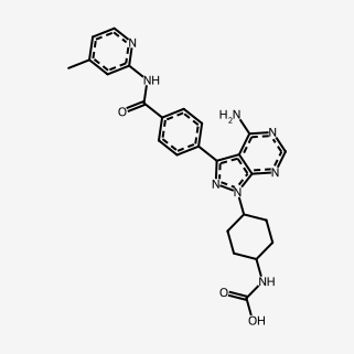 Cc1ccnc(NC(=O)c2ccc(-c3nn(C4CCC(NC(=O)O)CC4)c4ncnc(N)c34)cc2)c1